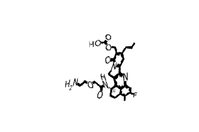 CCCc1cc2n(c(=O)c1COC(=O)O)Cc1c-2nc2cc(F)c(C)c3c2c1[C@@H](NC(=O)COCCN)CC3